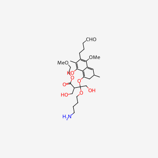 COCCOC(=O)C(CO)C(CO)(OCCCCN)OC1=c2c(O)c(C)c(CCCC=O)c(OC)c2=CC(C)C1